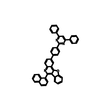 c1ccc(-c2cc(-c3ccccc3)nc(-c3ccc(-c4ccc5nc(-c6cccc7ccccc67)c6c7ccccc7oc6c5c4)cc3)n2)cc1